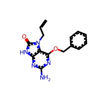 C=CCn1c(=O)[nH]c2nc(N)nc(OCc3ccccc3)c21